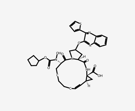 O=C1N[C@]2(C(=O)O)C[C@H]2/C=C\CCCCC[C@H](N(O)C(=O)OC2CCCC2)C(=O)N2CC(Oc3nc4ccccc4nc3-c3cccs3)C[C@@H]12